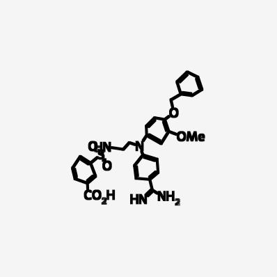 COc1cc(N(CCNS(=O)(=O)c2cccc(C(=O)O)c2)c2ccc(C(=N)N)cc2)ccc1OCc1ccccc1